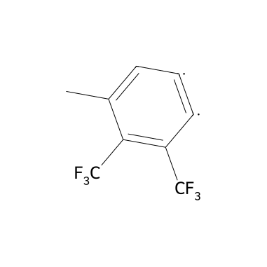 Cc1c[c][c]c(C(F)(F)F)c1C(F)(F)F